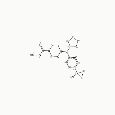 CC(C)(C)OC(=O)N1CCN(C(c2ccc(C3(N)CC3)cc2)C2CCCC2)CC1